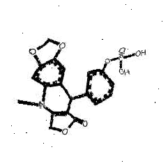 CN1C2=C(C(=O)OC2)C(c2cccc(OP(=O)(O)O)c2)c2cc3c(cc21)OCO3